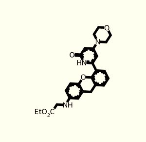 CCOC(=O)CNc1ccc2c(c1)Cc1cccc(-c3cc(N4CCOCC4)cc(=O)[nH]3)c1O2